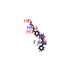 O=C(NCCCO)C(O)c1ccc(-c2noc(-c3onc(-c4ccccc4)c3C(F)(F)F)n2)cc1